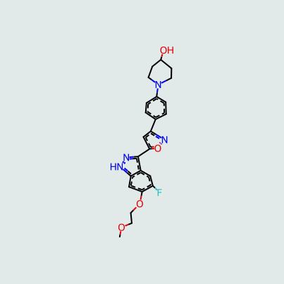 COCCOc1cc2[nH]nc(-c3cc(-c4ccc(N5CCC(O)CC5)cc4)no3)c2cc1F